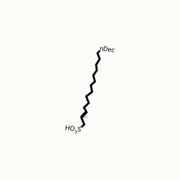 CCCCCCCCCCCCCCCCCCCCC/C=C/CS(=O)(=O)O